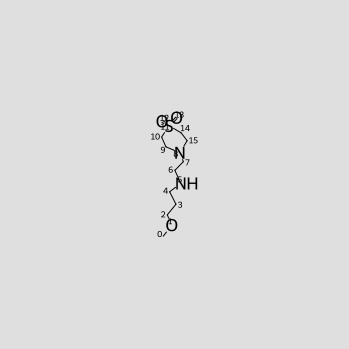 COCCCNCCN1CCS(=O)(=O)CC1